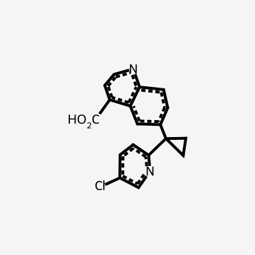 O=C(O)c1ccnc2ccc(C3(c4ccc(Cl)cn4)CC3)cc12